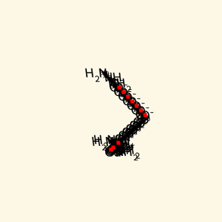 CC(=O)[O-].CC(=O)[O-].CC(=O)[O-].CC(=O)[O-].CC(=O)[O-].CC(=O)[O-].CC(=O)[O-].CC(=O)[O-].CC(=O)[O-].CC(=O)[O-].CC(=O)[O-].CC(=O)[O-].CC(=O)[O-].CC(=O)[O-].CC(=O)[O-].NCCNCCN.NCCNCCN.NCCNCCN.[Gd+3].[Gd+3].[Gd+3].[Gd+3].[Gd+3]